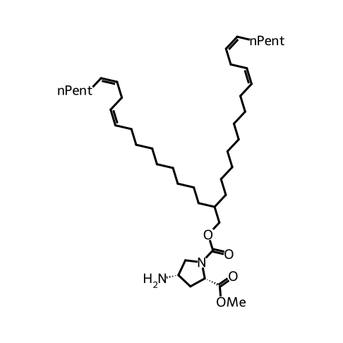 CCCCC/C=C\C/C=C\CCCCCCCCC(CCCCCCCC/C=C\C/C=C\CCCCC)COC(=O)N1C[C@@H](N)C[C@H]1C(=O)OC